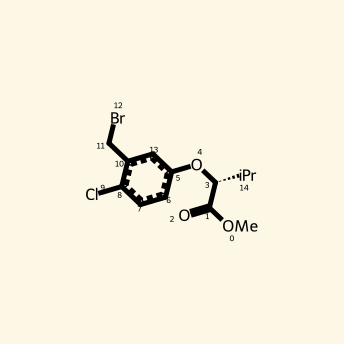 COC(=O)[C@H](Oc1ccc(Cl)c(CBr)c1)C(C)C